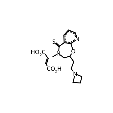 CN1CC(CCN2CCC2)Oc2ncccc2C1=S.O=C(O)C=CC(=O)O